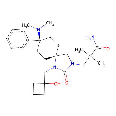 CN(C)[C@]1(c2ccccc2)CC[C@@]2(CC1)CN(CC(C)(C)C(N)=O)C(=O)N2CC1(O)CCC1